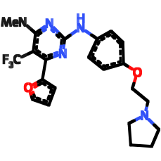 CNc1nc(Nc2ccc(OCCN3CCCC3)cc2)nc(-c2ccco2)c1C(F)(F)F